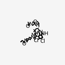 C=CC(=O)N1CC2(CC(n3nc(N4CC[C@@H](CN5CCOC6(C5)CN(C(C)=O)C6)CC4(C)C)c(-c4c(Cl)c(Cl)cc5[nH]ncc45)c3C)C2)C1